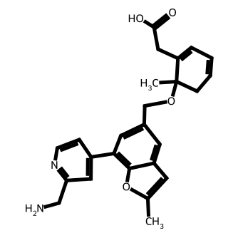 Cc1cc2cc(COC3(C)CC=CC=C3CC(=O)O)cc(-c3ccnc(CN)c3)c2o1